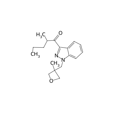 CCCC(C)C(=O)c1nn(CC2(C)COC2)c2ccccc12